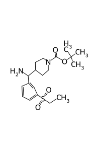 CCS(=O)(=O)c1cccc(C(N)C2CCN(C(=O)OC(C)(C)C)CC2)c1